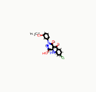 COc1cccc(-n2nc(O)c3[nH]c4cc(Cl)ccc4c(=O)c3c2=O)c1